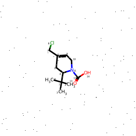 CC(C)(C)C1CC(CCl)=CCN1C(=O)O